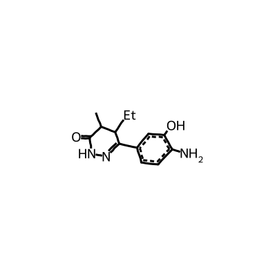 CCC1C(c2ccc(N)c(O)c2)=NNC(=O)C1C